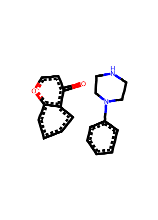 O=c1ccoc2ccccc12.c1ccc(N2CCNCC2)cc1